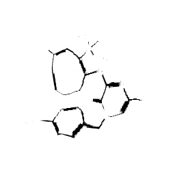 COc1ccc(Cn2cc(Cl)nc(N/C3=C([Si](C)(C)C)/C=C(C)\C=C/CC3)c2=O)cc1